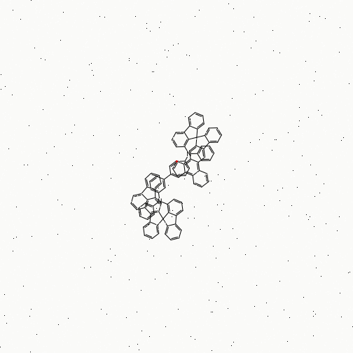 c1ccc(N(c2ccccc2)c2cccc3c2C2(c4ccccc4-c4cc5c6ccccc6c6cc(-c7cccc(N(c8ccccc8)c8cccc9c8C8(c%10ccccc%10-9)c9ccccc9-c9c8cc8c%10c(cccc9%10)-c9ccccc9-8)c7)ccc6c5cc42)c2ccccc2-3)cc1